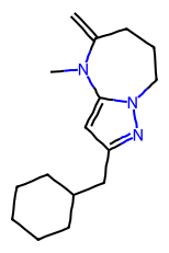 C=C1CCCn2nc(CC3CCCCC3)cc2N1C